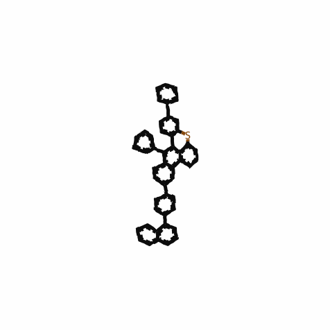 c1ccc(-c2ccc3c(c2)Sc2cccc4c2c-3c(-c2ccccc2)c2ccc(-c3ccc(-c5cccc6ccccc56)cc3)cc24)cc1